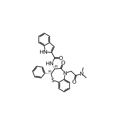 CN(C)C(=O)CN1C(=O)[C@@H](NC(=O)c2cc3ccccc3[nH]2)[C@@H](c2ccccc2)Sc2ccccc21